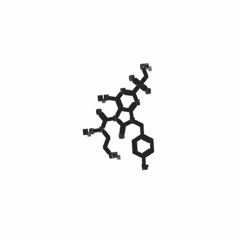 CCCN(C)C(=O)n1c(=O)n(Cc2ccc(Br)cc2)c2nc(S(=O)(=O)CC)nc(N)c21